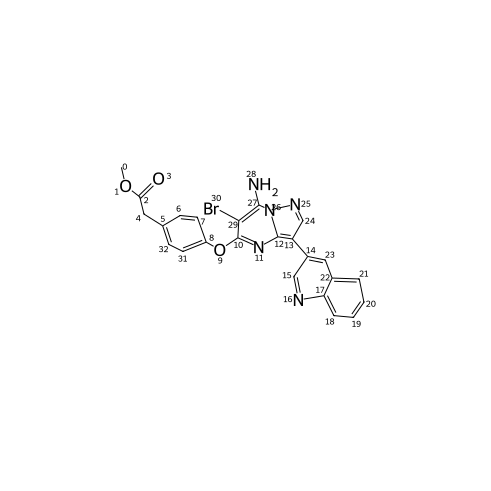 COC(=O)Cc1ccc(Oc2nc3c(-c4cnc5ccccc5c4)cnn3c(N)c2Br)cc1